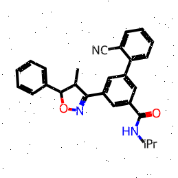 CC(C)NC(=O)c1cc(C2=NOC(c3ccccc3)C2C)cc(-c2ccccc2C#N)c1